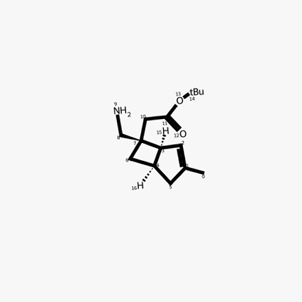 CC1=C[C@H]2[C@@H](C1)C[C@]2(CN)CC(=O)OC(C)(C)C